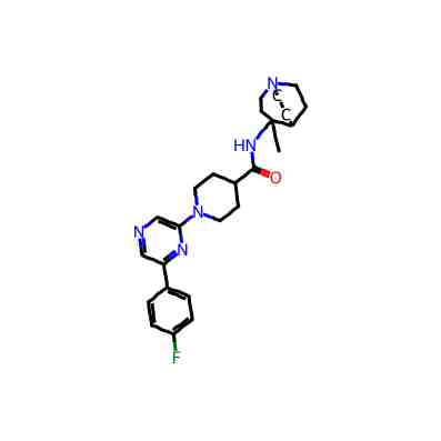 CC1(NC(=O)C2CCN(c3cncc(-c4ccc(F)cc4)n3)CC2)CCN2CCC1CC2